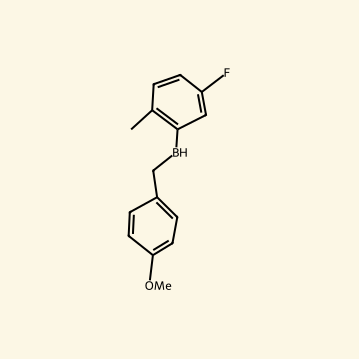 COc1ccc(CBc2cc(F)ccc2C)cc1